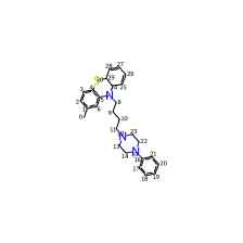 Cc1ccc2c(c1)N(CCCCN1CCN(c3ccccc3)CC1)C1C=CC=CC1S2